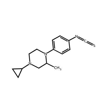 CC1CN(C2CC2)CCN1c1ccc(N=C=S)cc1